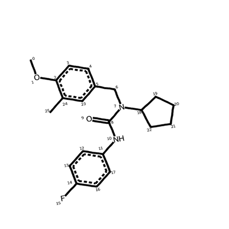 COc1ccc(CN(C(=O)Nc2ccc(F)cc2)C2CCCC2)cc1C